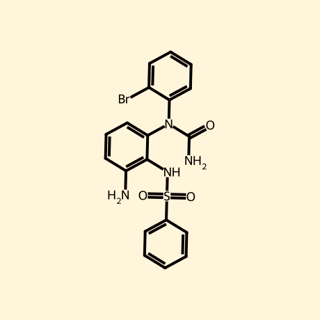 NC(=O)N(c1ccccc1Br)c1cccc(N)c1NS(=O)(=O)c1ccccc1